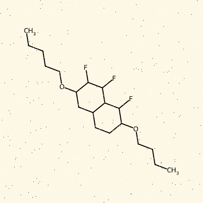 CCCCCOC1CC2CCC(OCCCC)C(F)C2C(F)C1F